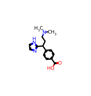 CN(C)CCC(c1ccc(C(=O)O)cc1)c1ncc[nH]1